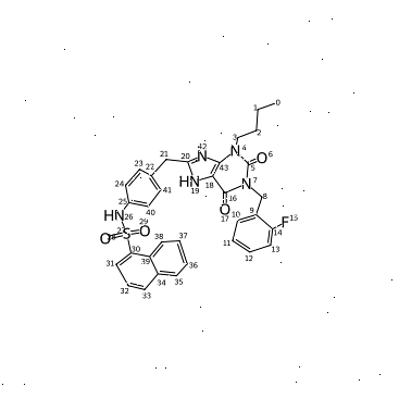 CCCCn1c(=O)n(Cc2ccccc2F)c(=O)c2[nH]c(Cc3ccc(NS(=O)(=O)c4cccc5ccccc45)cc3)nc21